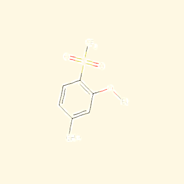 CCOc1cc(C=O)ccc1S(=O)(=O)C(F)(F)F